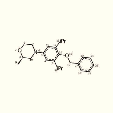 CC(C)c1cc(N2CCO[C@H](C)C2)cc(C(C)C)c1OCc1ccccc1